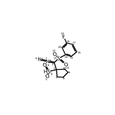 [N-]=[N+]=C(C1([SH](=O)=O)CCCC1)S(=O)(=O)c1cccc(F)c1